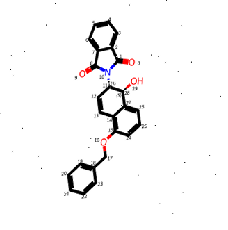 O=C1c2ccccc2C(=O)N1[C@H]1C=Cc2c(OCc3ccccc3)cccc2[C@@H]1O